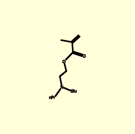 C=C(C)C(=O)OCCN(CCC)C(C)(C)C